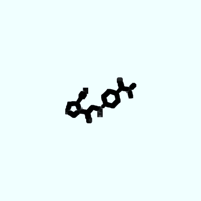 CN(C)C(=O)[C@H]1CC[C@H](NCC(=O)N2CSC[C@H]2C#N)CC1